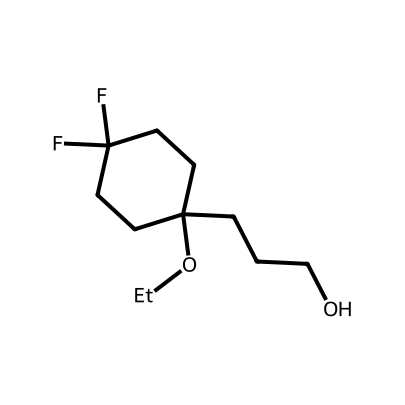 CCOC1(CCCO)CCC(F)(F)CC1